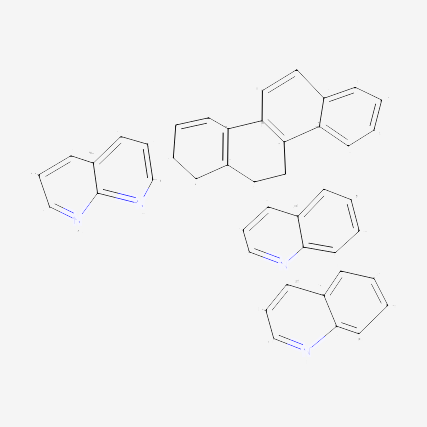 C1=CC2=C(CC1)CCc1c2ccc2ccccc12.c1ccc2ncccc2c1.c1ccc2ncccc2c1.c1cnc2ncccc2c1